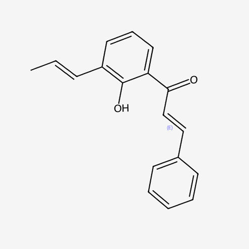 CC=Cc1cccc(C(=O)/C=C/c2ccccc2)c1O